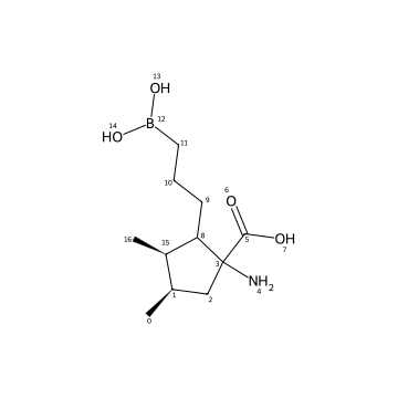 C[C@@H]1CC(N)(C(=O)O)C(CCCB(O)O)[C@@H]1C